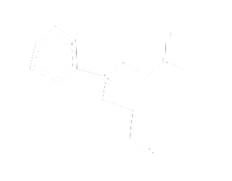 CCCCCCCCCCCCN(CCN(C)C)c1ccccc1